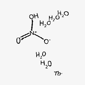 O.O.O.O.O.O=[N+]([O-])O.[Tb]